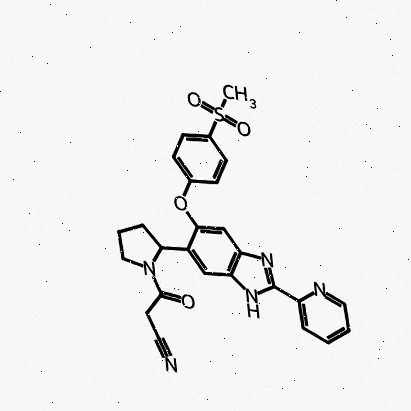 CS(=O)(=O)c1ccc(Oc2cc3nc(-c4ccccn4)[nH]c3cc2C2CCCN2C(=O)CC#N)cc1